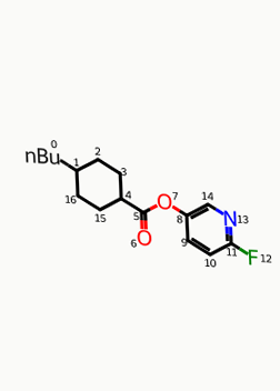 CCCCC1CCC(C(=O)Oc2ccc(F)nc2)CC1